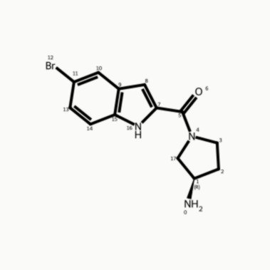 N[C@@H]1CCN(C(=O)c2cc3cc(Br)ccc3[nH]2)C1